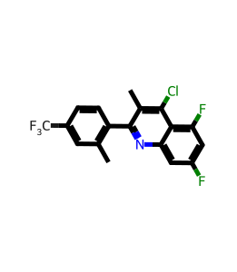 Cc1cc(C(F)(F)F)ccc1-c1nc2cc(F)cc(F)c2c(Cl)c1C